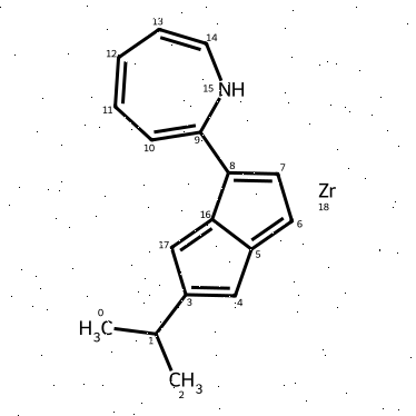 CC(C)C1=CC2=CC=C(C3=CC=CC=CN3)C2=C1.[Zr]